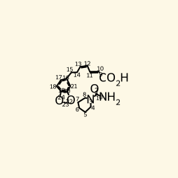 NC(=O)N1CCCCC1.O=C(O)/C=C/C=C\CCc1ccc2c(c1)OCO2